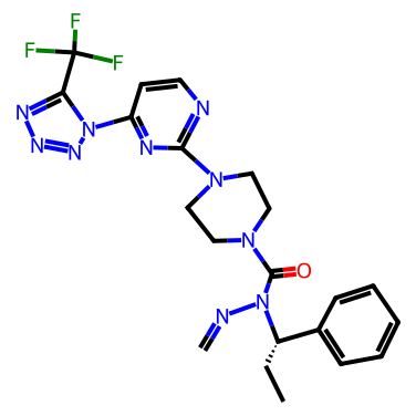 C=NN(C(=O)N1CCN(c2nccc(-n3nnnc3C(F)(F)F)n2)CC1)[C@@H](CC)c1ccccc1